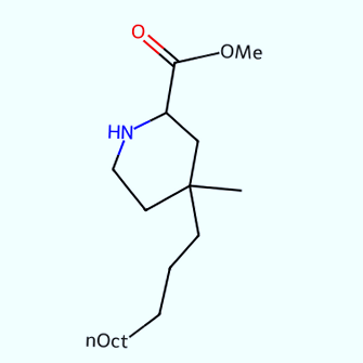 CCCCCCCCCCCC1(C)CCNC(C(=O)OC)C1